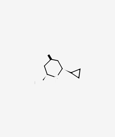 C[C@H]1CC(=O)C[C@@H](C2CC2)N1